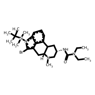 CCN(CC)C(=O)N[C@H]1CC2c3cccc4c3c(c(Br)n4[Si](C)(C)C(C)(C)C)C[C@H]2N(C)C1